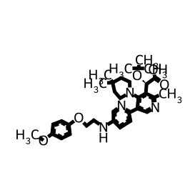 COc1ccc(OCCNc2ccc(-c3cnc(C)c([C@H](OC(C)(C)C)C(=O)O)c3N3CCC(C)(C)CC3)nc2)cc1